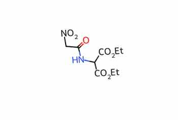 CCOC(=O)C(NC(=O)C[N+](=O)[O-])C(=O)OCC